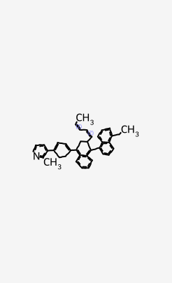 C/C=C\C=C/C1CC(C2=CC=C(c3cccnc3C)CC2)=c2ccccc2=C1c1cccc2c(CC)cccc12